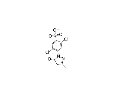 CC1=NN(c2cc(Cl)c(S(=O)(=O)O)cc2Cl)C(=O)C1